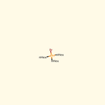 CCCCCC[PH](Br)(CCCCCC)CCCCCC